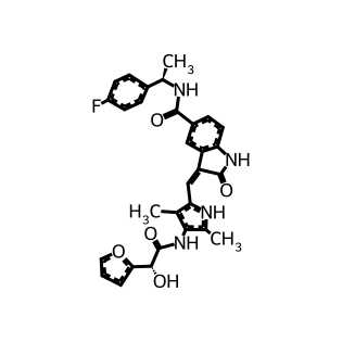 Cc1[nH]c(/C=C2\C(=O)Nc3ccc(C(=O)N[C@H](C)c4ccc(F)cc4)cc32)c(C)c1NC(=O)[C@H](O)c1ccco1